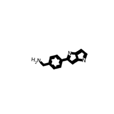 NCc1ccc(C2=NC3=CC=NC3=C2)cc1